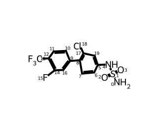 NS(=O)(=O)Nc1ccc(-c2ccc(C(F)(F)F)c(F)c2)c(Cl)c1